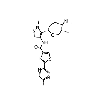 Cc1cnc(-c2nc(C(=O)Nc3cnn(C)c3[C@@H]3CC[C@@H](N)[C@H](F)CO3)cs2)cn1